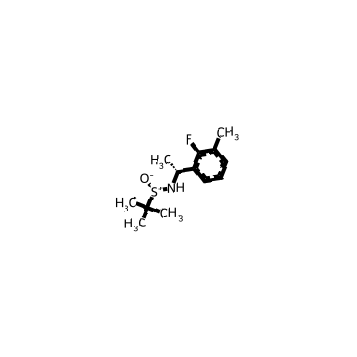 Cc1cccc([C@@H](C)N[S@+]([O-])C(C)(C)C)c1F